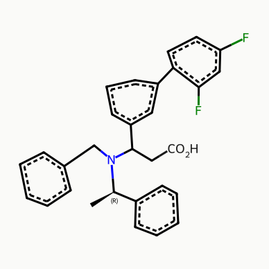 C[C@H](c1ccccc1)N(Cc1ccccc1)C(CC(=O)O)c1cccc(-c2ccc(F)cc2F)c1